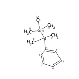 CC(C)(c1ccccc1)[Si](C)(C)[O]